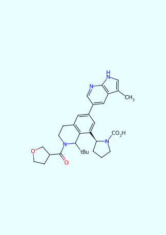 Cc1c[nH]c2ncc(-c3cc4c(c([C@@H]5CCCN5C(=O)O)c3)C(C(C)(C)C)N(C(=O)C3CCOC3)CC4)cc12